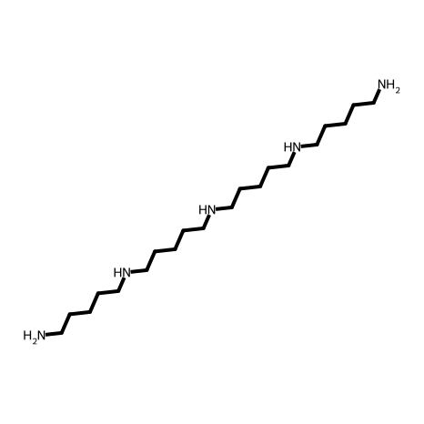 NCCCCCNCCCCCNCCCCCNCCCCCN